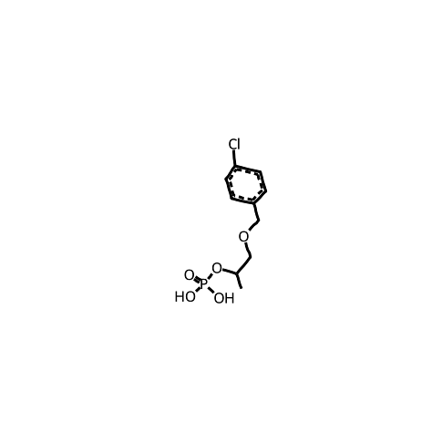 CC(COCc1ccc(Cl)cc1)OP(=O)(O)O